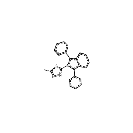 Cc1nnc(-n2c(-c3ccccc3)c3ccccc3c2-c2ccccc2)o1